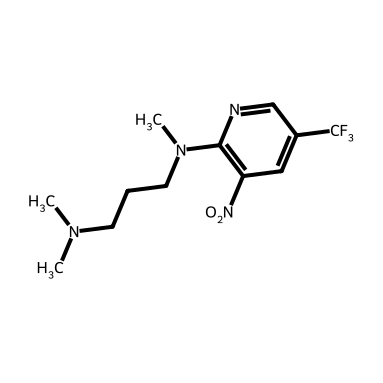 CN(C)CCCN(C)c1ncc(C(F)(F)F)cc1[N+](=O)[O-]